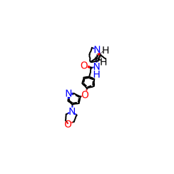 C[C@H]1[C@H](NC(=O)c2ccc(Oc3cncc(N4CCOCC4)c3)cc2)C2CCN1CC2